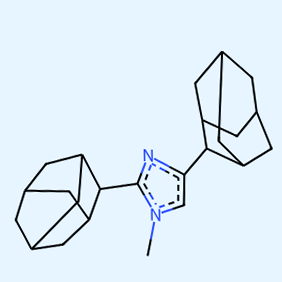 Cn1cc(C2C3CC4CC(C3)CC2C4)nc1C1C2CC3CC(C2)CC1C3